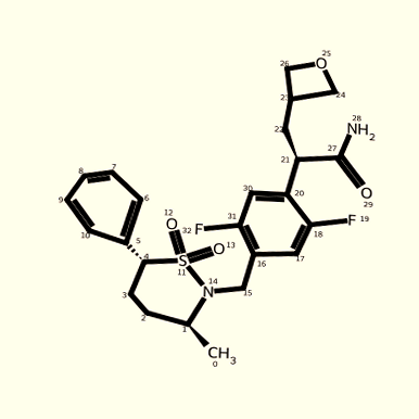 C[C@H]1CC[C@H](c2ccccc2)S(=O)(=O)N1Cc1cc(F)c([C@@H](CC2COC2)C(N)=O)cc1F